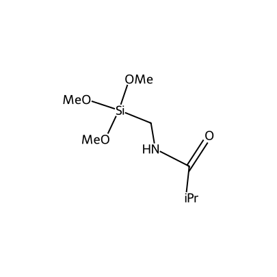 CO[Si](CNC(=O)C(C)C)(OC)OC